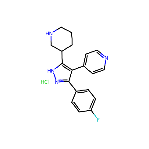 Cl.Fc1ccc(-c2n[nH]c(C3CCCNC3)c2-c2ccncc2)cc1